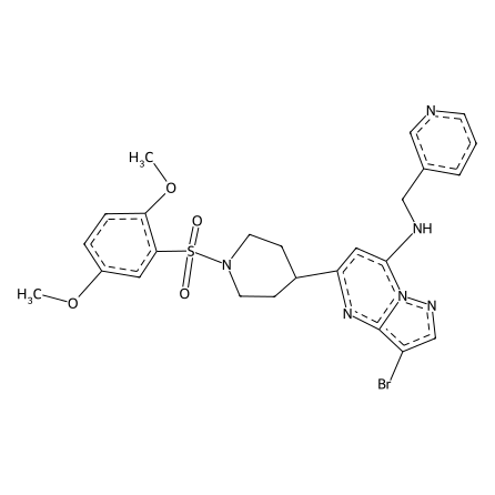 COc1ccc(OC)c(S(=O)(=O)N2CCC(c3cc(NCc4cccnc4)n4ncc(Br)c4n3)CC2)c1